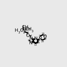 C[Si](C)(C)CCOCn1cnc2ccc(N3CCOCC3)nc21